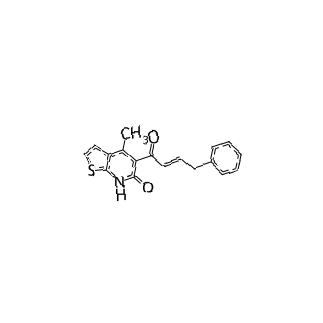 Cc1c(C(=O)/C=C/Cc2ccccc2)c(=O)[nH]c2sccc12